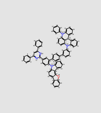 c1ccc(-c2cc(-c3ccccc3)nc(-c3ccc(-n4c5ccccc5c5c6oc7ccccc7c6ccc54)c(-c4ccc(-c5cccc(N6c7ccccc7B7c8ccccc8N(c8ccccc8)c8cccc6c87)c5)cc4)c3)n2)cc1